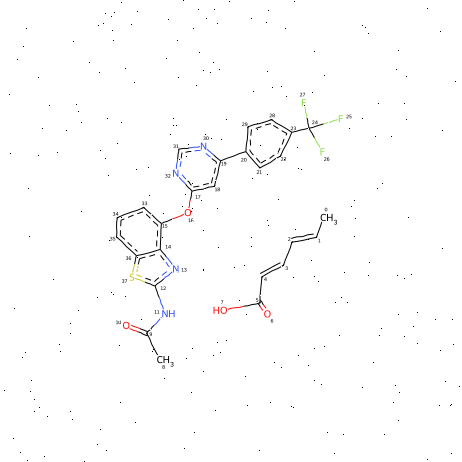 C/C=C/C=C/C(=O)O.CC(=O)Nc1nc2c(Oc3cc(-c4ccc(C(F)(F)F)cc4)ncn3)cccc2s1